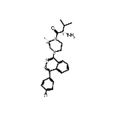 CC(C)[C@H](N)C(=O)N1CCN(c2nnc(-c3ccc(Cl)cc3)c3ccccc23)C[C@@H]1C